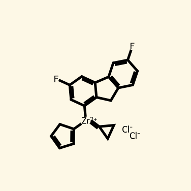 Fc1ccc2c(c1)-c1cc(F)c[c]([Zr+2]([C]3=CC=CC3)=[C]3CC3)c1C2.[Cl-].[Cl-]